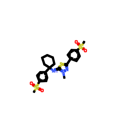 Cn1nc(-c2ccc(S(C)(=O)=O)cc2)s/c1=N\C1(c2ccc(S(C)(=O)=O)cc2)CCCCC1